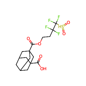 O=C(O)C12CC3CC(C1)CC(C(=O)OCCC(F)(F)C(F)(F)[SH](=O)=O)(C3)C2